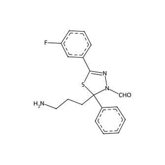 NCCCC1(c2ccccc2)SC(c2cccc(F)c2)=NN1C=O